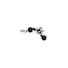 CC(C)[C@H](NC(=O)OCc1ccccc1)C(=O)OCCc1ccc(C(=O)O)cc1